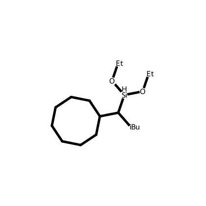 CCO[SiH](OCC)C(C(C)CC)C1CCCCCCC1